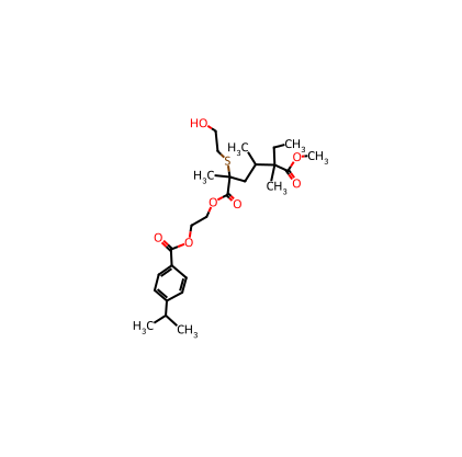 CCC(C)(C(=O)OC)C(C)CC(C)(SCCO)C(=O)OCCOC(=O)c1ccc(C(C)C)cc1